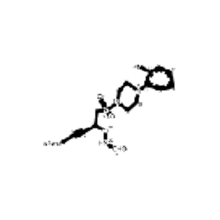 CCCCCC#CC(CS(=O)(=O)N1CCN(c2ccccc2F)CC1)ONC=O